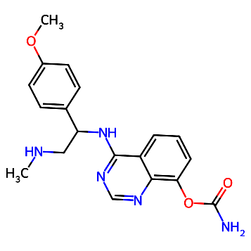 CNCC(Nc1ncnc2c(OC(N)=O)cccc12)c1ccc(OC)cc1